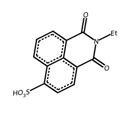 CCN1C(=O)c2cccc3c(S(=O)(=O)O)ccc(c23)C1=O